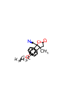 COc1ccc(C2(C#N)OC(=O)CC2(C)c2ccc(C)cc2)cc1